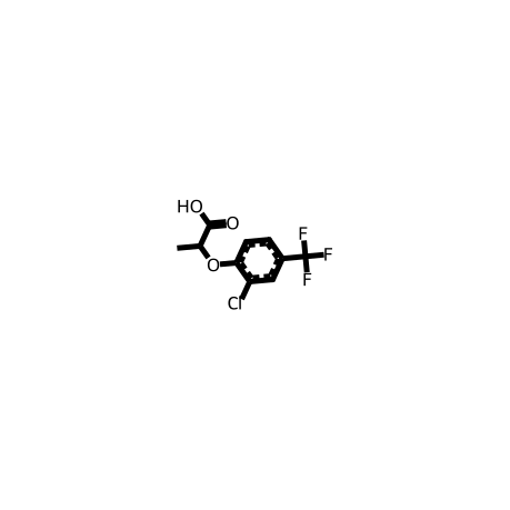 CC(Oc1ccc(C(F)(F)F)cc1Cl)C(=O)O